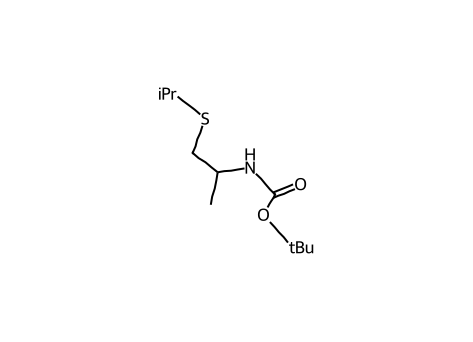 CC(CSC(C)C)NC(=O)OC(C)(C)C